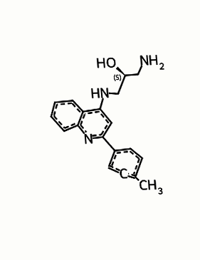 Cc1ccc(-c2cc(NC[C@@H](O)CN)c3ccccc3n2)cc1